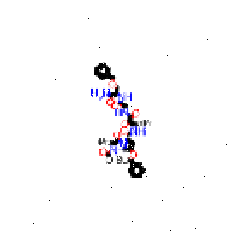 CCCC(NC(=O)[C@@H]1C[C@@H](OCc2ccccc2)CN1C(=O)C(NC(=O)OCC(C)C)C(C)C)C(=O)C(=O)NCC(=O)NC(COCc1ccccc1)C(N)=O